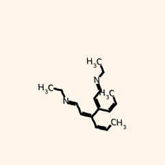 C\C=C/C(=C/C=N/CC)C(/C=C\C)=C/C=N/CC